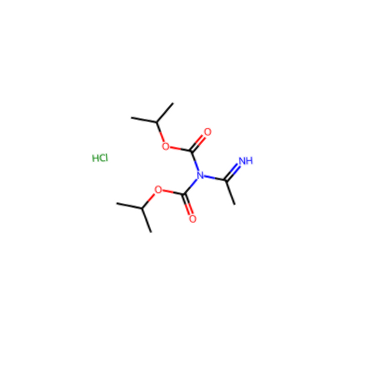 CC(=N)N(C(=O)OC(C)C)C(=O)OC(C)C.Cl